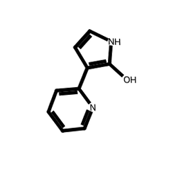 Oc1[nH]ccc1-c1ccccn1